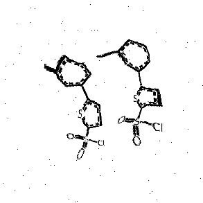 Cc1cccc(-c2ccc(S(=O)(=O)Cl)s2)c1.Cc1cccc(-c2ccc(S(=O)(=O)Cl)s2)c1